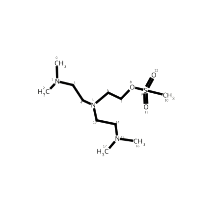 CN(C)CCN(CCOS(C)(=O)=O)CCN(C)C